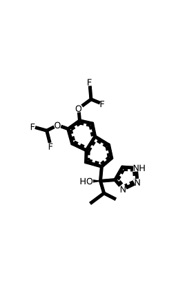 CC(C)[C@](O)(c1ccc2cc(OC(F)F)c(OC(F)F)cc2c1)c1c[nH]nn1